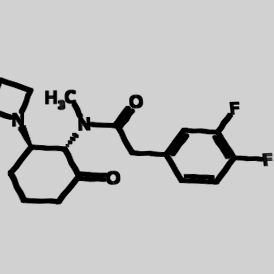 CN(C(=O)Cc1ccc(F)c(F)c1)[C@@H]1C(=O)CCC[C@H]1N1CCC1